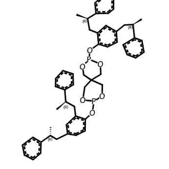 C[C@H](Cc1ccc(OP2OCC3(CO2)COP(Oc2ccc(C[C@@H](C)c4ccccc4)cc2C[C@@H](C)c2ccccc2)OC3)c(C[C@@H](C)c2ccccc2)c1)c1ccccc1